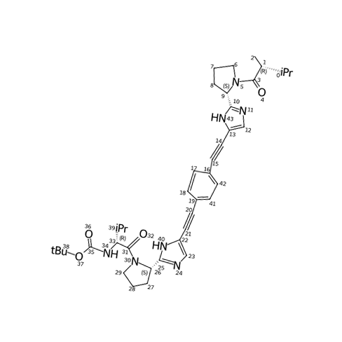 CC(C)[C@@H](C)C(=O)N1CCC[C@H]1c1ncc(C#Cc2ccc(C#Cc3cnc([C@@H]4CCCN4C(=O)[C@H](NC(=O)OC(C)(C)C)C(C)C)[nH]3)cc2)[nH]1